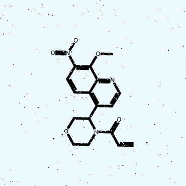 C=CC(=O)N1CCOCC1c1ccnc2c(OC)c([N+](=O)[O-])ccc12